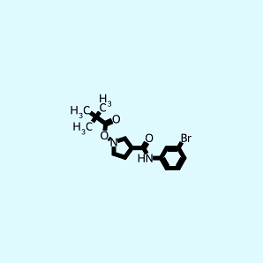 CC(C)(C)C(=O)ON1CCC(C(=O)Nc2cccc(Br)c2)C1